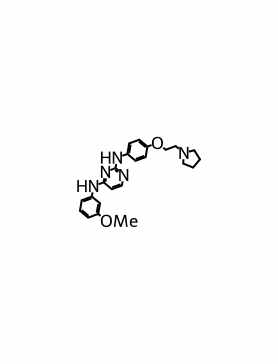 COc1cccc(Nc2ccnc(Nc3ccc(OCCN4CCCC4)cc3)n2)c1